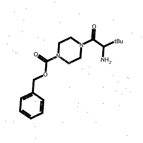 CC(C)(C)C(N)C(=O)N1CCN(C(=O)OCc2ccccc2)CC1